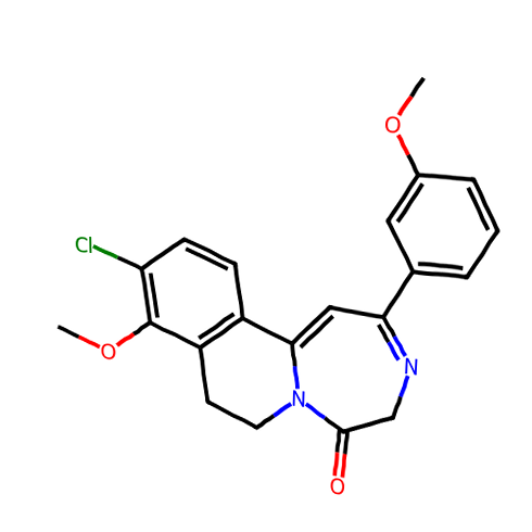 COc1cccc(C2=NCC(=O)N3CCc4c(ccc(Cl)c4OC)C3=C2)c1